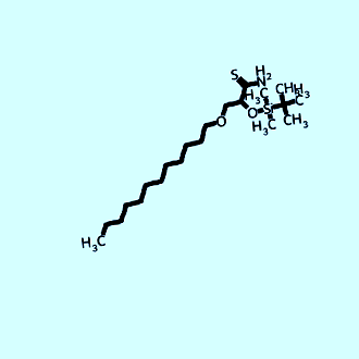 CCCCCCCCCCCCOCC(O[Si](C)(C)C(C)(C)C)C(N)=S